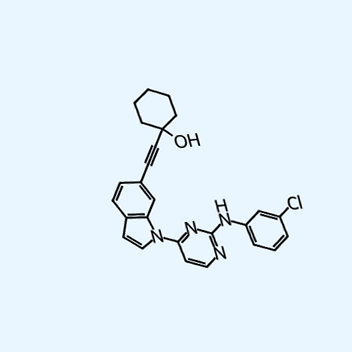 OC1(C#Cc2ccc3ccn(-c4ccnc(Nc5cccc(Cl)c5)n4)c3c2)CCCCC1